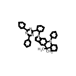 CC1(C)c2ccccc2N(c2ccccc2)c2cc3c(ccn3-c3ccccc3-c3nc(-c4ccccc4)nc(-c4ccccc4)n3)cc21